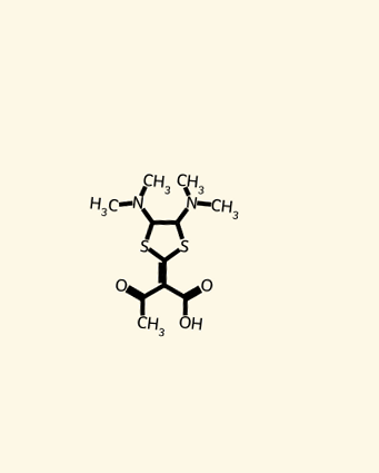 CC(=O)C(C(=O)O)=C1SC(N(C)C)C(N(C)C)S1